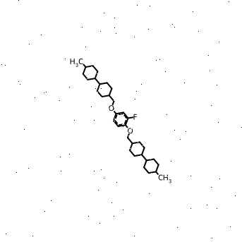 CC1CCC(C2CCC(COc3ccc(OCC4CCC(C5CCC(C)CC5)CC4)c(F)c3)CC2)CC1